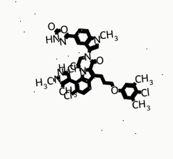 Cc1cc(OCCCc2c3n(c4c(-c5c(C)nn(C)c5C)c(Cl)ccc24)C(C)CN(c2cn(C)c4ccc(-c5n[nH]c(=O)o5)cc24)C3=O)cc(C)c1Cl